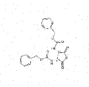 O=C(N[C@@H]1C(=O)OC(=O)[C@@H]1NC(=O)OCc1ccccc1)OCc1ccccc1